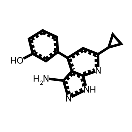 Nc1n[nH]c2nc(C3CC3)cc(-c3cccc(O)c3)c12